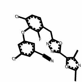 Cc1nc(C)c(-c2nnc(Cc3ccc(Cl)c(Oc4cc(Cl)cc(C#N)c4)c3F)o2)o1